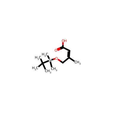 CC(=CC(=O)O)CO[Si](C)(C)C(C)(C)C